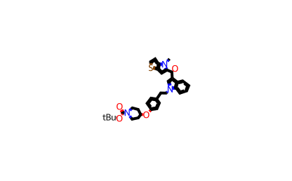 Cn1c(C(=O)c2cn(CCc3ccc(OC4CCN(C(=O)OC(C)(C)C)CC4)cc3)c3ccccc23)cc2sccc21